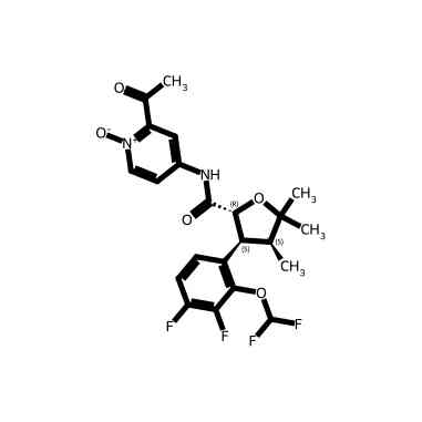 CC(=O)c1cc(NC(=O)[C@@H]2OC(C)(C)[C@@H](C)[C@H]2c2ccc(F)c(F)c2OC(F)F)cc[n+]1[O-]